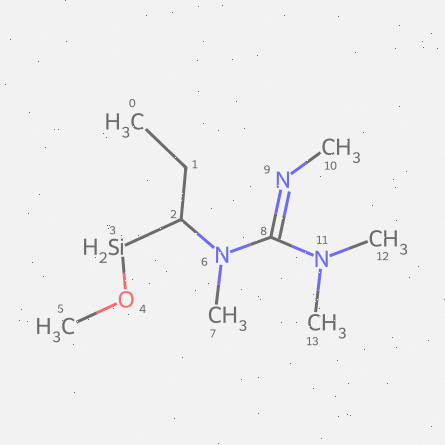 CCC([SiH2]OC)N(C)C(=NC)N(C)C